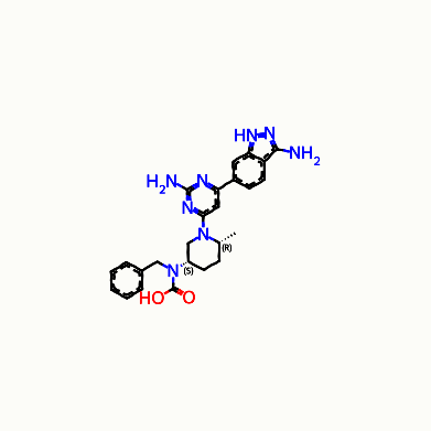 C[C@@H]1CC[C@H](N(Cc2ccccc2)C(=O)O)CN1c1cc(-c2ccc3c(N)n[nH]c3c2)nc(N)n1